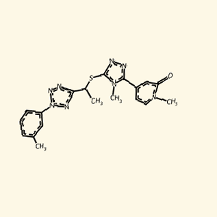 Cc1cccc(-n2nnc(C(C)Sc3nnc(-c4ccn(C)c(=O)c4)n3C)n2)c1